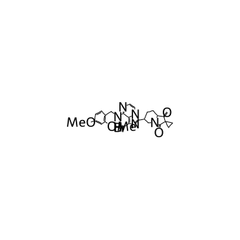 COc1ccc(CNc2nccn3c(C4CCC5C(=O)C6(CC6)C(=O)N5C4)nc(Br)c23)c(OC)c1